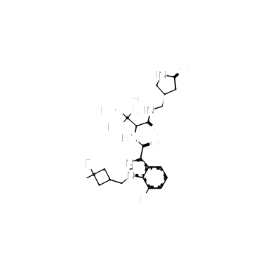 CC(C)(C)C(NC(=O)c1nn(CC2CC(F)(F)C2)c2c(F)cccc12)C(=O)NC[C@H]1CNC(=O)C1